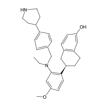 CCN(Cc1ccc(C2CCNCC2)cc1)c1cc(OC)ccc1[C@@H]1CCc2cc(O)ccc2C1